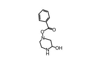 O=C(ON1CCNC(O)C1)c1ccccc1